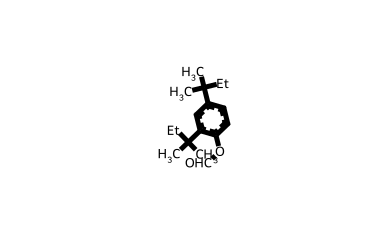 CCC(C)(C)c1ccc(OC=O)c(C(C)(C)CC)c1